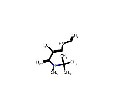 C=CB/C=C(\C)C(=C)N(C)C(C)(C)C